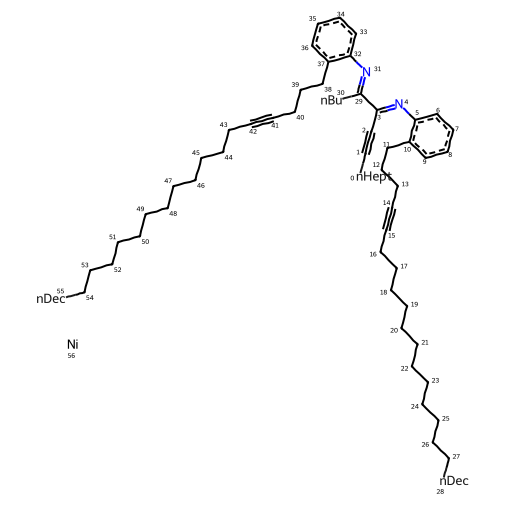 CCCCCCCC#CC(=Nc1ccccc1CCCC#CCCCCCCCCCCCCCCCCCCCCCC)C(CCCC)=Nc1ccccc1CCCC#CCCCCCCCCCCCCCCCCCCCCCC.[Ni]